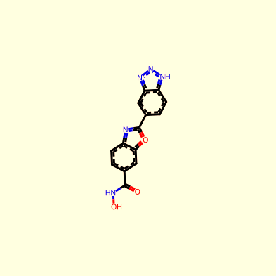 O=C(NO)c1ccc2nc(-c3ccc4[nH]nnc4c3)oc2c1